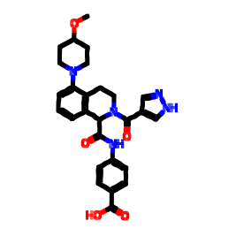 COC1CCN(c2cccc3c2CCN(C(=O)c2cn[nH]c2)C3C(=O)Nc2ccc(C(=O)O)cc2)CC1